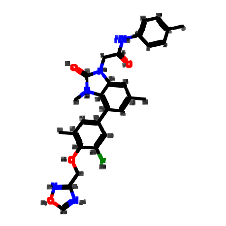 Cc1ccc(NC(=O)Cn2c(=O)n(C)c3c(-c4cc(C)c(OCc5ncon5)c(F)c4)cc(C)cc32)cc1